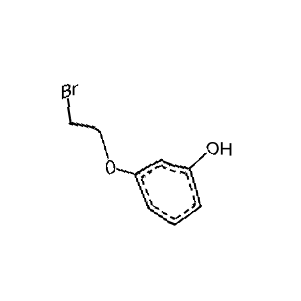 Oc1cccc(OCCBr)c1